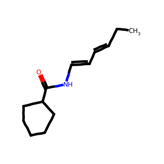 CC/C=C/C=C/NC(=O)C1CCCCC1